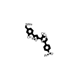 CNCc1ccc(-c2cc(-c3nc(-c4ccc([S+]([O-])C(C)C)cc4)cnc3C)on2)c(C)c1